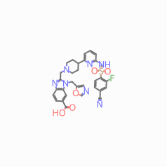 N#Cc1ccc(S(=O)(=O)Nc2cccc(C3CCN(Cc4nc5ccc(C(=O)O)cc5n4Cc4cnco4)CC3)n2)c(F)c1